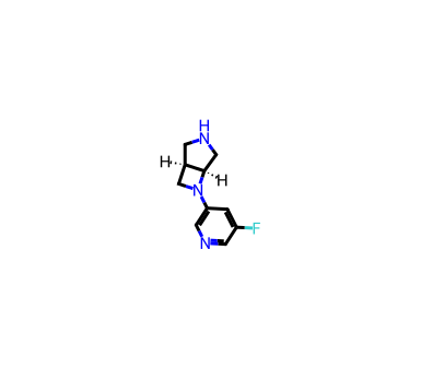 Fc1cncc(N2C[C@H]3CNC[C@H]32)c1